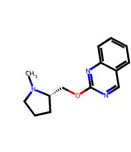 CN1CCC[C@H]1COc1ncc2ccccc2n1